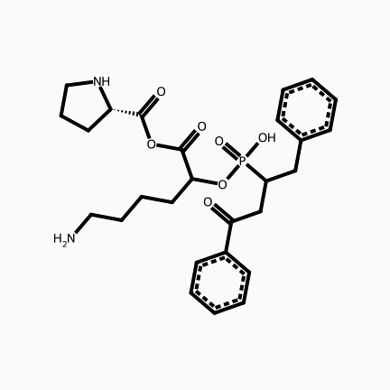 NCCCCC(OP(=O)(O)C(CC(=O)c1ccccc1)Cc1ccccc1)C(=O)OC(=O)[C@@H]1CCCN1